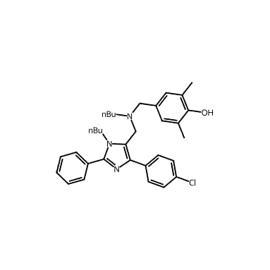 CCCCN(Cc1cc(C)c(O)c(C)c1)Cc1c(-c2ccc(Cl)cc2)nc(-c2ccccc2)n1CCCC